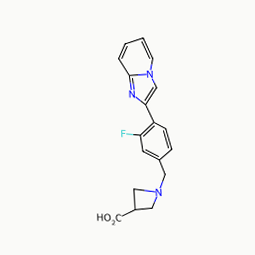 O=C(O)C1CN(Cc2ccc(-c3cn4ccccc4n3)c(F)c2)C1